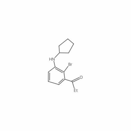 CCC(=O)c1cccc(NC2CCCC2)c1Br